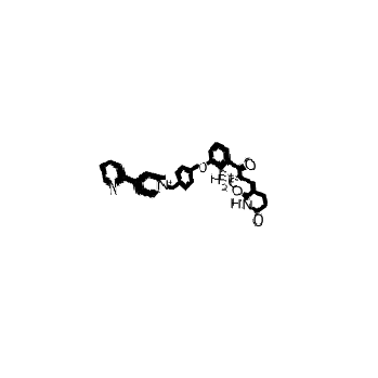 C=C(CC1CCC(=O)NC1=O)C(=O)c1cccc(OCc2ccc(C[n+]3ccc(-c4ccccn4)cc3)cc2)c1CC